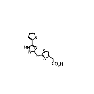 O=C(O)Cc1csc(Sc2n[nH]c(-c3cccs3)n2)n1